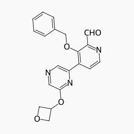 O=Cc1nccc(-c2cncc(OC3COC3)n2)c1OCc1ccccc1